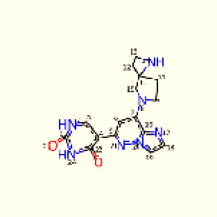 O=c1[nH]cc(-c2cc(N3CCC4(CCN4)C3)c3nccn3n2)c(=O)[nH]1